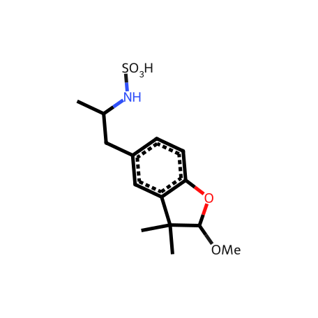 COC1Oc2ccc(CC(C)NS(=O)(=O)O)cc2C1(C)C